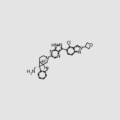 NC[C@]1(c2ccccc2F)[C@@H]2CCN(c3cnc4c(-c5ccc6nn(C7COC7)cc6c5Cl)n[nH]c4n3)C[C@@H]21